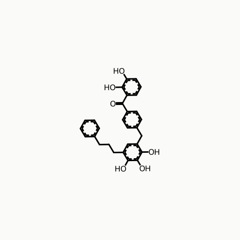 O=C(c1ccc(Cc2cc(CCCc3ccccc3)c(O)c(O)c2O)cc1)c1cccc(O)c1O